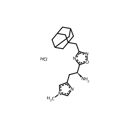 Cl.Cn1cnc(C[C@H](N)c2nc(CC34CC5CC(CC(C5)C3)C4)no2)c1